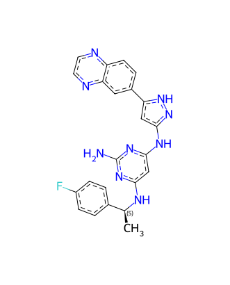 C[C@H](Nc1cc(Nc2cc(-c3ccc4nccnc4c3)[nH]n2)nc(N)n1)c1ccc(F)cc1